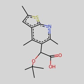 Cc1cc2c(C)c(C(OC(C)(C)C)C(=O)O)c(C)nc2s1